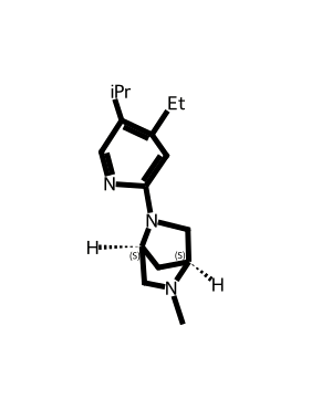 CCc1cc(N2C[C@@H]3C[C@H]2CN3C)ncc1C(C)C